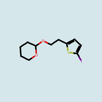 Ic1ccc(CCOC2CCCCO2)s1